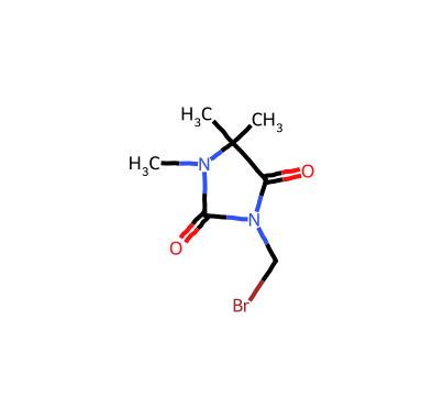 CN1C(=O)N(CBr)C(=O)C1(C)C